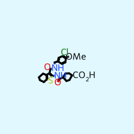 COc1ccc(CNC(=O)c2c(NC(=O)C3CCC(C(=O)O)CC3)sc3c2CCCC3)cc1Cl